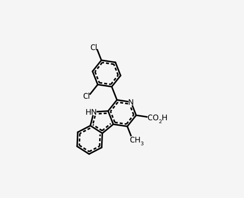 Cc1c(C(=O)O)nc(-c2ccc(Cl)cc2Cl)c2[nH]c3ccccc3c12